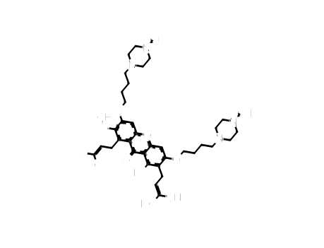 COc1c(OCCCCN2CCN(C)CC2)cc2oc3cc(OCCCCN4CCN(C)CC4)c(CC=C(C)C)c(O)c3c(=O)c2c1CC=C(C)C